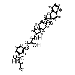 O=S(=O)(NCCF)c1cccc(OCC(O)CNC2COC3(CCN(S(=O)(=O)c4ccc5ncccc5c4)CC3)C2)c1